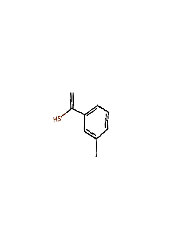 C=C(S)c1cccc(C)c1